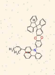 C=C(/C=C\C)c1ccc(N(c2ccc3c(c2)Oc2cc4c(cc2O3)-c2ccccc2C42c3ccccc3C3C=CC=C[C@H]32)c2ccccc2-c2ccccc2)cc1